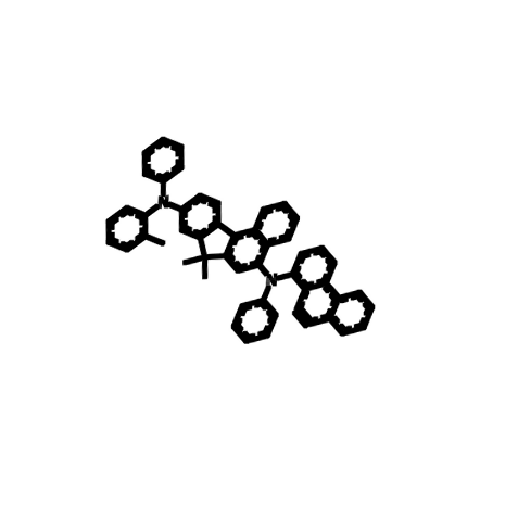 Cc1ccccc1N(c1ccccc1)c1ccc2c(c1)C(C)(C)c1cc(N(c3ccccc3)c3cccc4c3c#cc3ccccc34)c3ccccc3c1-2